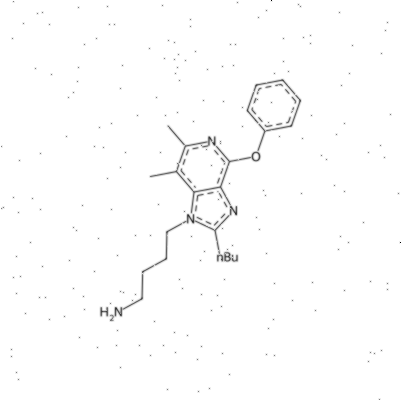 CCCCc1nc2c(Oc3ccccc3)nc(C)c(C)c2n1CCCCN